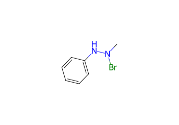 CN(Br)Nc1ccccc1